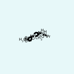 CC(C)NC(=O)Nc1nc2c(s1)[C@H](C)N(c1nc3cc(S(C)(=O)=O)ccc3o1)CC2